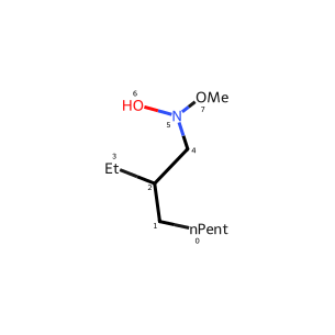 CCCCCCC(CC)CN(O)OC